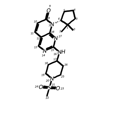 CC1(C)CCC[C@H]1n1c(=O)ccc2cnc(NC3CCN(S(C)(=O)=O)CC3)nc21